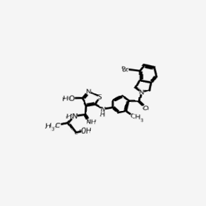 Cc1cc(Nc2snc(O)c2C(=N)NC(C)CO)ccc1C(=O)N1Cc2cccc(Br)c2C1